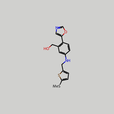 CSc1ccc(CNc2ccc(-c3cnco3)c(CO)c2)s1